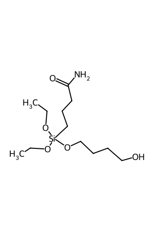 CCO[Si](CCCC(N)=O)(OCC)OCCCCO